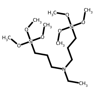 CCN(CCC[Si](OC)(OC)OC)CCC[Si](OC)(OC)OC